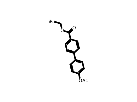 CCC(C)COC(=O)c1ccc(-c2ccc(OC(C)=O)cc2)cc1